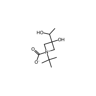 CC(O)C1(O)C[N+](C(=O)[O-])(C(C)(C)C)C1